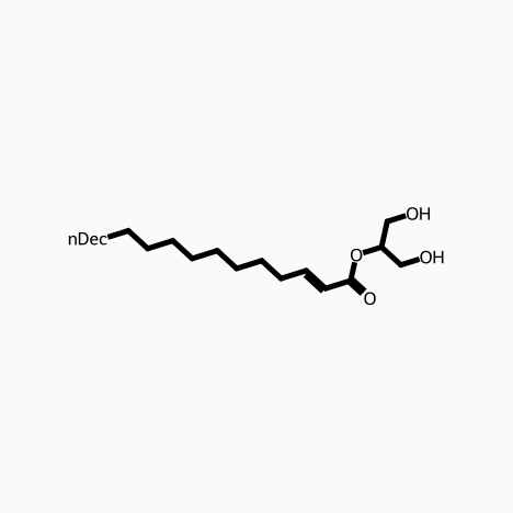 CCCCCCCCCCCCCCCCCCC=CC(=O)OC(CO)CO